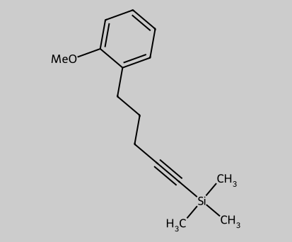 COc1ccccc1CCCC#C[Si](C)(C)C